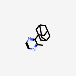 Cc1nccnc1C12CC3CC(CC(C3)C1)C2